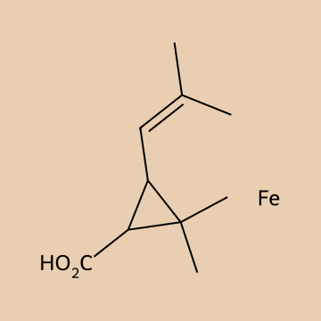 CC(C)=CC1C(C(=O)O)C1(C)C.[Fe]